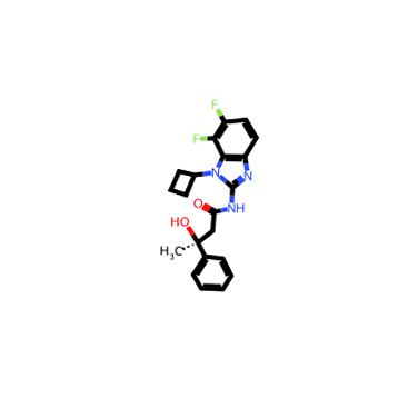 C[C@](O)(CC(=O)Nc1nc2ccc(F)c(F)c2n1C1CCC1)c1ccccc1